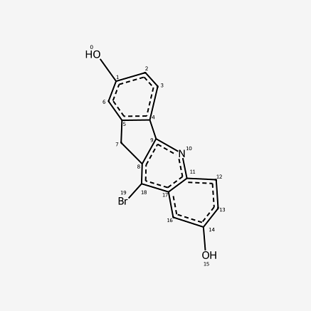 Oc1ccc2c(c1)Cc1c-2nc2ccc(O)cc2c1Br